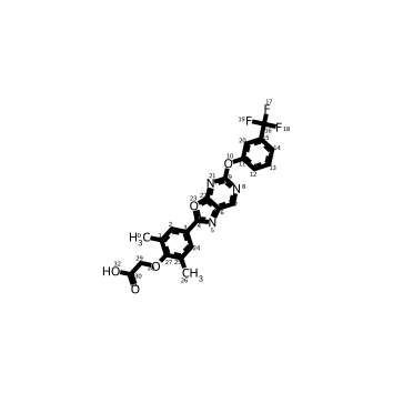 Cc1cc(-c2nc3cnc(Oc4cccc(C(F)(F)F)c4)nc3o2)cc(C)c1OCC(=O)O